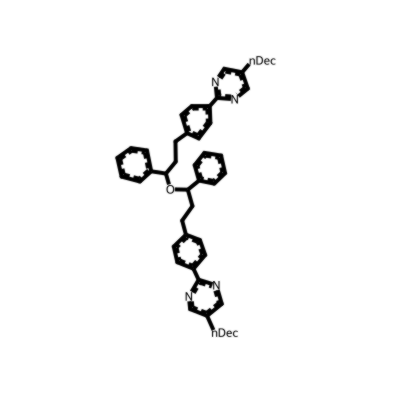 CCCCCCCCCCc1cnc(-c2ccc(CCC(OC(CCc3ccc(-c4ncc(CCCCCCCCCC)cn4)cc3)c3ccccc3)c3ccccc3)cc2)nc1